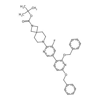 CC(C)(C)OC(=O)N1CC2(CCN(c3ncc(-c4ccc(OCc5ccccc5)nc4OCc4ccccc4)cc3F)CC2)C1